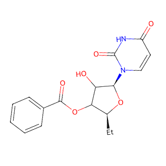 CC[C@@H]1O[C@H](n2ccc(=O)[nH]c2=O)C(O)C1OC(=O)c1ccccc1